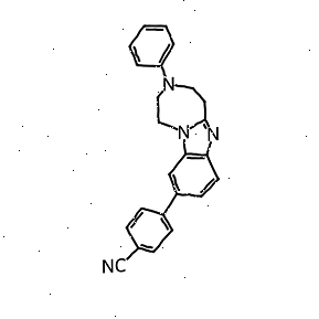 N#Cc1ccc(-c2ccc3nc4n(c3c2)CCN(c2ccccc2)CC4)cc1